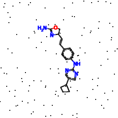 NC1=NC(C=Cc2ccc(Nc3ncc(C4CCC4)cn3)cc2)CO1